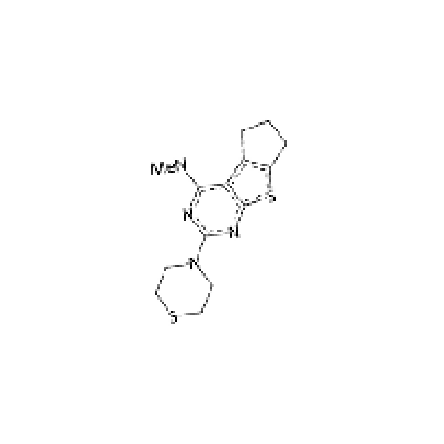 CNc1nc(N2CCSCC2)nc2sc3c(c12)CCC3